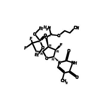 CCOP(=O)(OCC)C(F)(F)C[C@H]1O[C@@H](n2cc(C)c(=O)[nH]c2=O)[C@H](F)[C@@H]1OP(N)OCCC#N